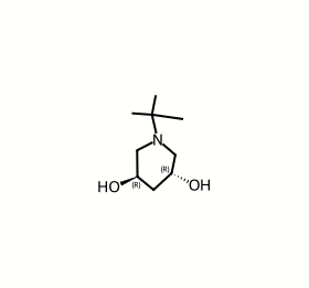 CC(C)(C)N1C[C@H](O)C[C@@H](O)C1